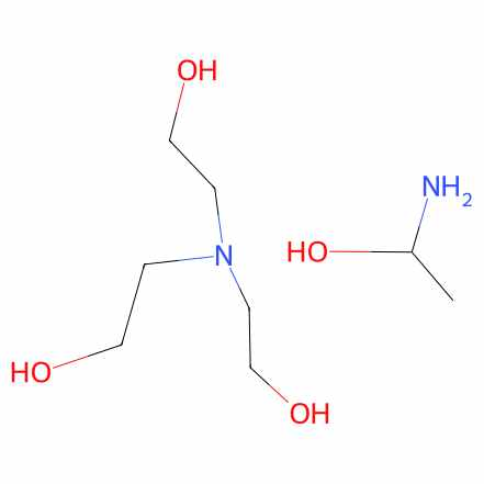 CC(N)O.OCCN(CCO)CCO